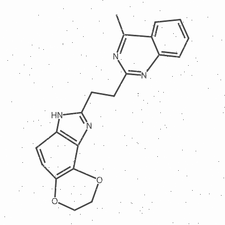 Cc1nc(CCc2nc3c4c(ccc3[nH]2)OCCO4)nc2ccccc12